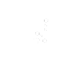 Cc1ccc(N2CCN(CCCN3c4ccccc4C(=O)NC3c3ccccc3)CC2)cc1